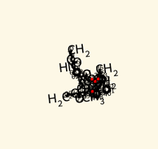 C=CCOC(=O)Nc1ccc(N(CC(=O)S[C@@H]2[C@@H]([C@@H](C)OC(=O)OCC=C)C(=O)N2C(C(=O)OCC=C)=P(c2ccccc2)(c2ccccc2)c2ccccc2)C(=O)OCC=C)cc1